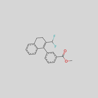 COC(=O)c1cccc(C2=C(C(F)F)CCc3ccccc32)c1